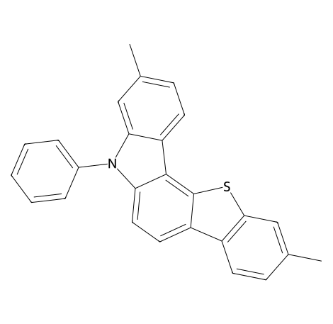 Cc1ccc2c(c1)sc1c2ccc2c1c1ccc(C)cc1n2-c1ccccc1